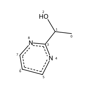 CC(O)c1nc[c]cn1